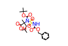 CC(C)CC(C)(C(=O)O)N(C(=O)OC(C)(C)C)S(=O)(=O)NC(=O)OCc1ccccc1